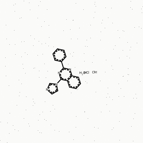 Cl.Cl.O.c1ccc(-c2nc(-n3ccnc3)c3ccccc3n2)cc1